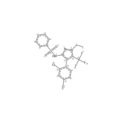 CCn1nc(NS(=O)(=O)c2ccccc2)c(-c2ccc(Cl)cc2Cl)c1C(F)(F)F